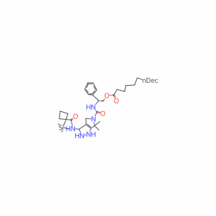 CCCCCCCCCCCCCCCC(=O)OC[C@@H](NC(=O)N1CC2=C(NNC2NC(=O)C2([Si](C)(C)C)CCC2)C1(C)C)c1ccccc1